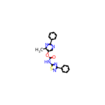 Cc1nc(-c2ccccc2)ncc1OC(=O)Nc1nc(-c2ccccc2)ns1